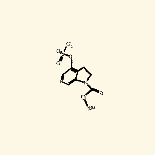 CC(C)(C)OC(=O)N1CCc2c(OS(=O)(=O)C(F)(F)F)cncc21